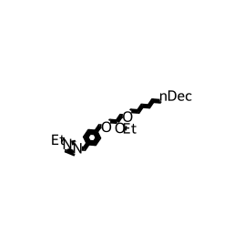 CCCCCCCCCCCCCCCCOCC(COCc1ccc(CN2C=CN(CC)C2)cc1)OCC